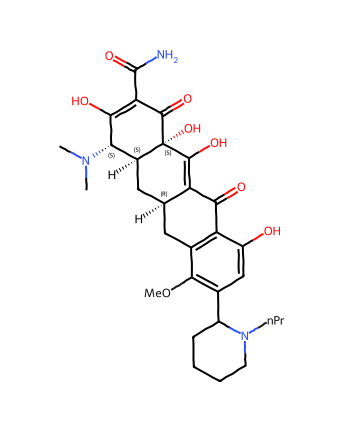 CCCN1CCCCC1c1cc(O)c2c(c1OC)C[C@H]1C[C@H]3[C@H](N(C)C)C(O)=C(C(N)=O)C(=O)[C@@]3(O)C(O)=C1C2=O